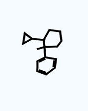 CC1(c2ccccc2)CCCC[C]1C1CC1